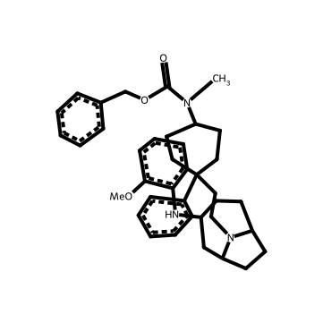 COc1ccccc1NC1CCC2CCC(C1)N2CCC1(c2ccccc2)CCC(N(C)C(=O)OCc2ccccc2)CC1